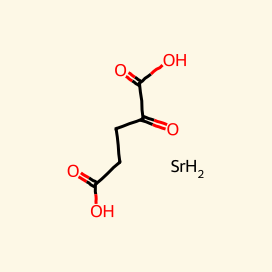 O=C(O)CCC(=O)C(=O)O.[SrH2]